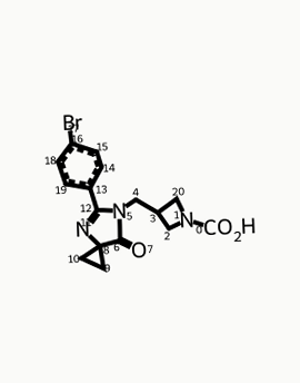 O=C(O)N1CC(CN2C(=O)C3(CC3)N=C2c2ccc(Br)cc2)C1